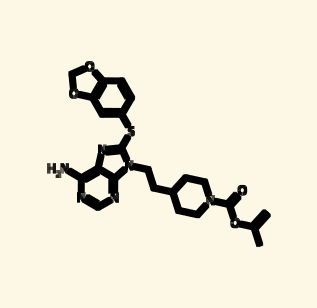 C=C(C)OC(=O)N1CCC(CCn2c(Sc3ccc4c(c3)OCO4)nc3c(N)ncnc32)CC1